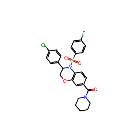 O=C(c1ccc2c(c1)OCC(c1ccc(Cl)cc1)N2S(=O)(=O)c1ccc(F)cc1)N1CCCCC1